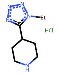 CCn1nnnc1C1CCNCC1.Cl